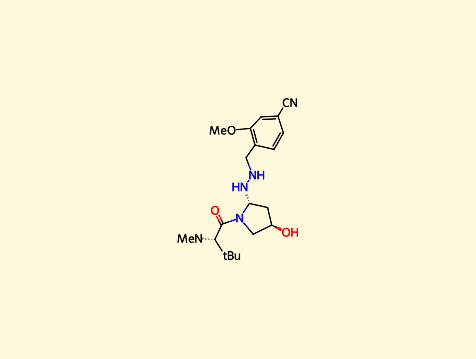 CN[C@H](C(=O)N1C[C@H](O)C[C@H]1NNCc1ccc(C#N)cc1OC)C(C)(C)C